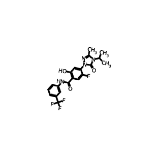 Cc1nn(-c2cc(O)c(C(=O)Nc3cccc(C(F)(F)F)c3)cc2F)c(=O)n1C(C)C